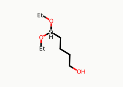 CCO[SiH](CCCCO)OCC